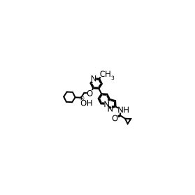 Cc1cc(-c2ccn3nc(NC(=O)C4CC4)cc3c2)c(OC[C@@H](O)C2CCCCC2)cn1